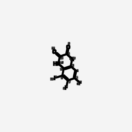 O=C1[N]c2cc(F)c(F)c(F)c2NC1=O